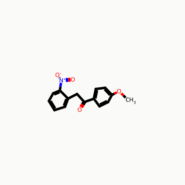 COc1ccc(C(=O)Cc2ccccc2[N+](=O)[O-])cc1